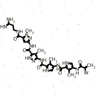 C=C(Br)C(=O)Nc1c[nH]c(C(=O)Nc2c[nH]c(C(=O)Nc3n[nH]c(C(=O)Nc4cc(C(=O)NCCC(=N)N)n(C)n4)c3C)c2C)c1C